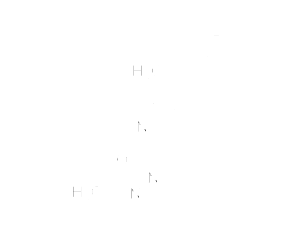 Cc1nnc(-c2ccc(-c3ccc(F)cc3C)cn2)o1